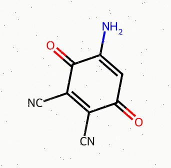 N#CC1=C(C#N)C(=O)C(N)=CC1=O